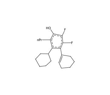 CCCc1c(O)c(F)c(F)c(C2=CCCCC2)c1C1CCCCC1